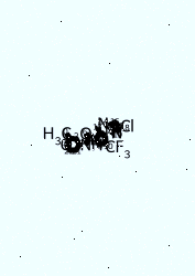 CC1CC(NC(=O)N2C[C@@H](C(F)(F)F)c3c2cnc2cc(Cl)nn32)CCO1